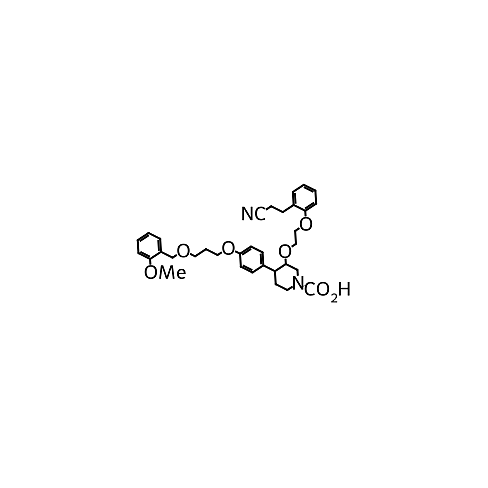 COc1ccccc1COCCCOc1ccc(C2CCN(C(=O)O)CC2OCCOc2ccccc2CCC#N)cc1